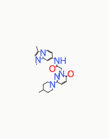 CC1=CN(C)C2C=C(NC(=O)Cn3nc(N4CCC(C)CC4)ccc3=O)C=CN12